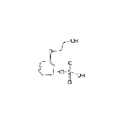 O=S(=O)(O)O.OCCOc1ccccc1